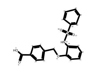 O=C(O)c1ccc(COc2ccccc2NS(=O)(=O)c2ccccc2)cc1